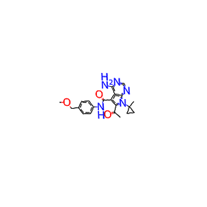 COCc1ccc(NC(=O)c2c(C(C)=O)n(C3(C)CC3)c3ncnc(N)c23)cc1